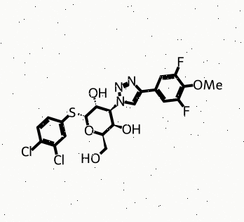 COc1c(F)cc(-c2cn([C@@H]3[C@@H](O)[C@@H](Sc4ccc(Cl)c(Cl)c4)O[C@H](CO)[C@@H]3O)nn2)cc1F